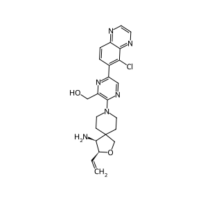 C=C[C@@H]1OCC2(CCN(c3ncc(-c4ccc5nccnc5c4Cl)nc3CO)CC2)[C@@H]1N